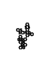 c1ccc2c(c1)Oc1cccc(N(c3ccc(-c4cc(N(c5ccc6c(c5)Sc5ccccc5S6)c5ccc6c(c5)Sc5ccccc5S6)c5oc6ccccc6c5c4)cc3)c3cccc4c3Oc3ccccc3O4)c1O2